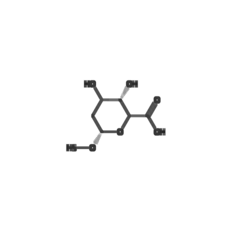 O=C(O)C1O[C@H](OS)CC(O)[C@@H]1O